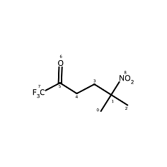 CC(C)(CCC(=O)C(F)(F)F)[N+](=O)[O-]